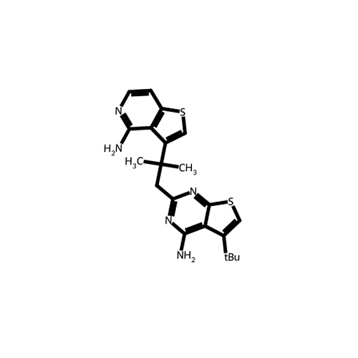 CC(C)(C)c1csc2nc(CC(C)(C)c3csc4ccnc(N)c34)nc(N)c12